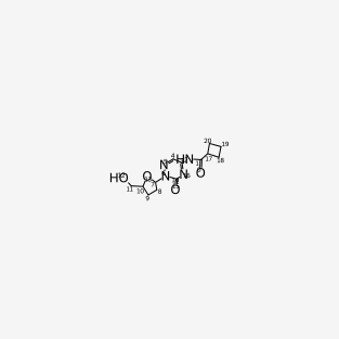 O=C(Nc1cnn(C2CCC(CO)O2)c(=O)n1)C1CCC1